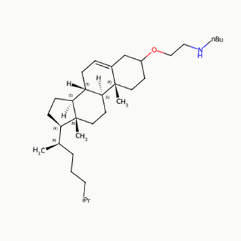 CCCCNCCOC1CC[C@@]2(C)C(=CC[C@H]3[C@@H]4CC[C@H]([C@H](C)CCCC(C)C)[C@@]4(C)CC[C@@H]32)C1